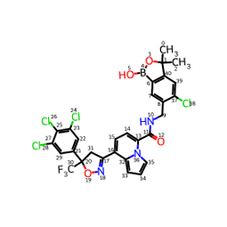 CC1(C)OB(O)c2cc(CNC(=O)c3ccc(C4=NOC(c5cc(Cl)c(Cl)c(Cl)c5)(C(F)(F)F)C4)c4cccn34)c(Cl)cc21